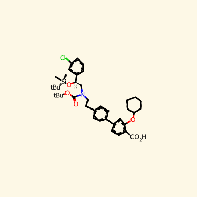 CC(C)(C)OC(=O)N(CCc1ccc(-c2ccc(C(=O)O)c(OC3CCCCC3)c2)cc1)C[C@@H](O[Si](C)(C)C(C)(C)C)c1cccc(Cl)c1